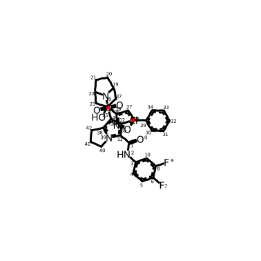 O=C(Nc1ccc(F)c(F)c1)c1c(Cl)c(S(=O)(=O)N2C3CCC2CC(O)(c2cc(-c4ccccc4)on2)C3)c2n1CCC2